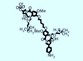 COc1cc2c(cc1OCCCCCOc1cc3c(cc1OC)C(=O)N1C=C(c4ccc(N)cc4)C[C@H]1C(O)N3COCC[Si](C)(C)C)N(COCC[Si](C)(C)C)C(O)[C@@H]1CC(OS(=O)(=O)C(F)(F)F)=CN1C2=O